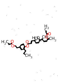 C=CC(=O)OCCc1ccc(OC(=O)/C=C/C(=C)/C=C\C(=C)C(=C)/C=C\C(=C)OC(=O)C=C)c(CCC)c1